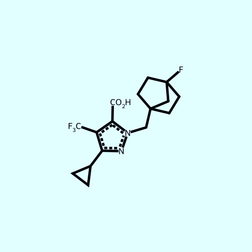 O=C(O)c1c(C(F)(F)F)c(C2CC2)nn1CC12CCC(F)(CC1)C2